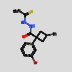 CCC1CC(C(=O)NNC(=S)NC)(c2cccc(Br)c2)C1